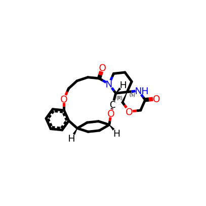 O=C1COC[C@@]2(CCCN3C(=O)CCCOc4ccccc4[C@H]4CC[C@H](CC4)OC[C@H]32)N1